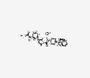 COC(OC)(c1ccccc1)N1CCC(N(C)C(=O)n2cnc(-c3cccc(NC(N)=O)c3)c2)CC1.Cl